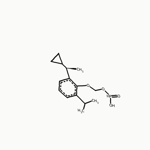 CC(C)c1cccc([C@H](C)C2CC2)c1OCO[PH](=O)O